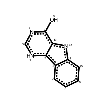 Oc1nc[nH]c2c3ccccc3nc1-2